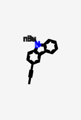 CC#Cc1ccc2c(c1)c1ccccc1n2CCCC